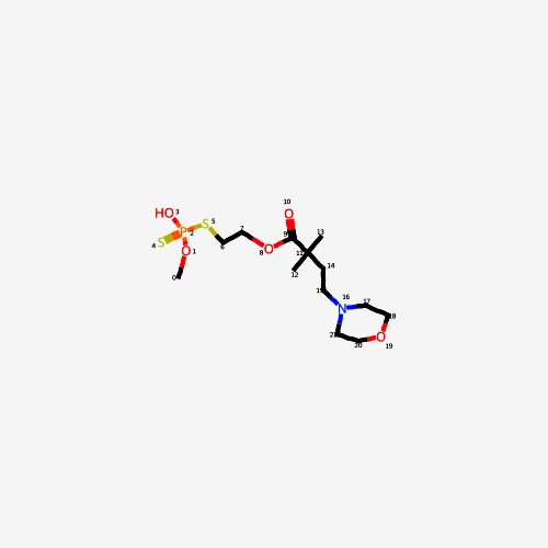 COP(O)(=S)SCCOC(=O)C(C)(C)CCN1CCOCC1